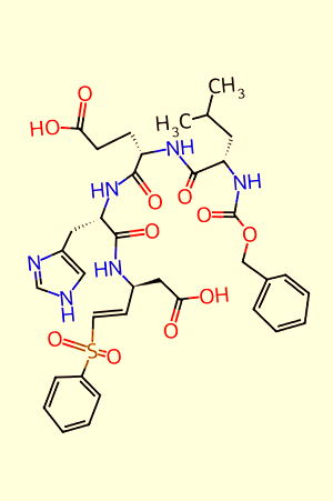 CC(C)C[C@H](NC(=O)OCc1ccccc1)C(=O)N[C@@H](CCC(=O)O)C(=O)N[C@@H](Cc1c[nH]cn1)C(=O)N[C@H](/C=C/S(=O)(=O)c1ccccc1)CC(=O)O